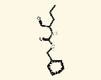 CCCC(C=O)NC(=O)OCc1ccccc1